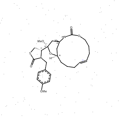 COc1ccc(CN2C(=O)SC[C@@H]2[C@@]2(OC)C[C@H]3C[C@@H](CCC/C=C/CCCOC(=O)N3)O2)cc1